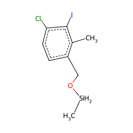 C[SiH2]OCc1ccc(Cl)c(I)c1C